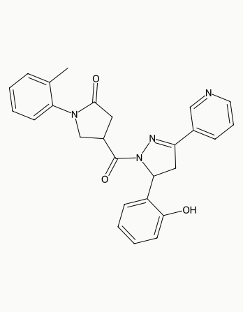 Cc1ccccc1N1CC(C(=O)N2N=C(c3cccnc3)CC2c2ccccc2O)CC1=O